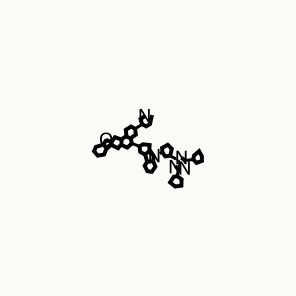 c1ccc(-c2nc(-c3ccccc3)nc(-c3cccc(-n4c5ccccc5c5cc(-c6cc7cc8c(cc7c7ccc(-c9cccnc9)cc67)oc6ccccc68)ccc54)c3)n2)cc1